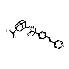 CC(C)(C(=O)NC1C2CC3CC1CC(C(N)=O)(C3)C2)c1ccc(/C=C/c2ccncc2)cc1